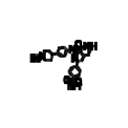 CCCS(=O)(=O)c1ccc(-c2cc3cc[nH]c(=O)c3c(Nc3ccc(C4CCN(CC)CC4)cc3)n2)cc1